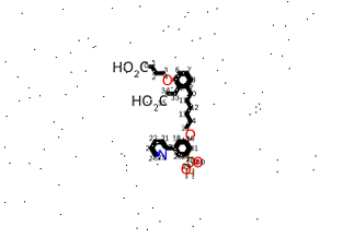 O=C(O)CCCOc1cccc(CCCCCCOc2cc(-c3ccccn3)cc([SH](=O)=O)c2)c1CCC(=O)O